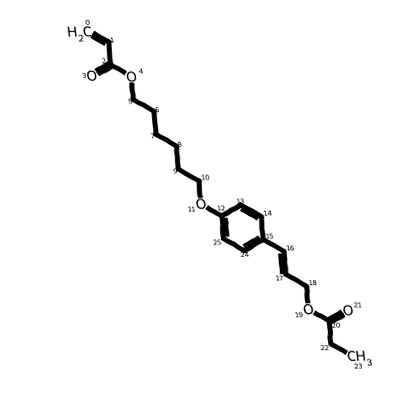 C=CC(=O)OCCCCCCOc1ccc(C=CCOC(=O)CC)cc1